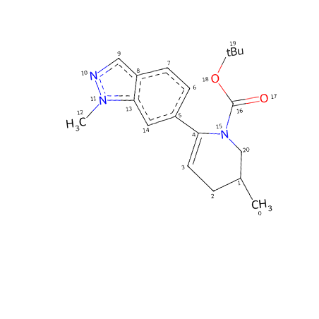 CC1CC=C(c2ccc3cnn(C)c3c2)N(C(=O)OC(C)(C)C)C1